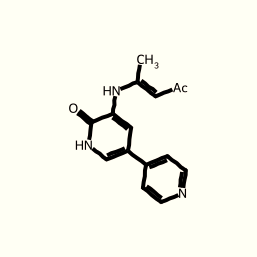 CC(=O)C=C(C)Nc1cc(-c2ccncc2)c[nH]c1=O